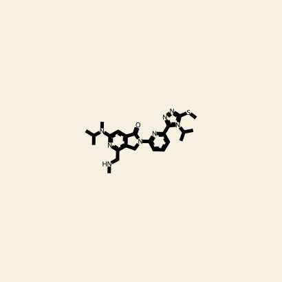 CNCc1nc(N(C)C(C)C)cc2c1CN(c1cccc(-c3nnc(SC)n3C(C)C)n1)C2=O